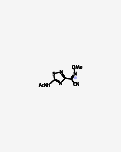 CO/N=C(/C#N)c1nsc(NC(C)=O)n1